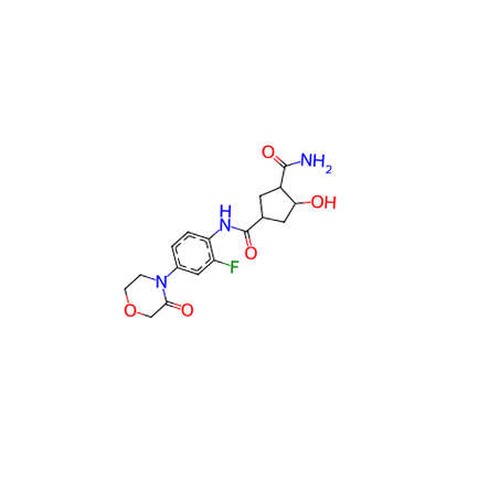 NC(=O)C1CC(C(=O)Nc2ccc(N3CCOCC3=O)cc2F)CC1O